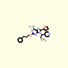 CCC(c1ccncc1)n1c(-c2ccco2)nc2c(N)nc(OCCCc3ccccc3)nc21